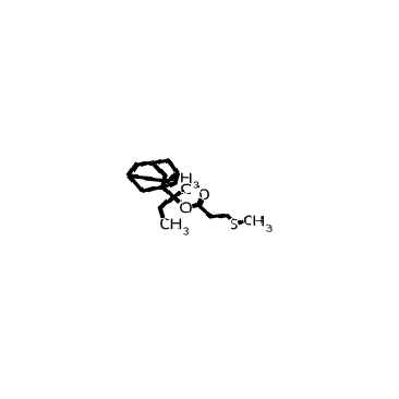 CCC(C)(OC(=O)CCSC)C12CC3CC(CC(C3)C1)C2